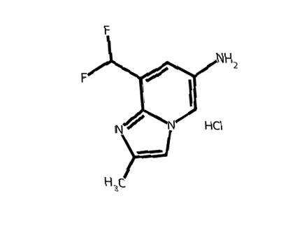 Cc1cn2cc(N)cc(C(F)F)c2n1.Cl